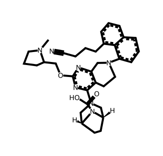 CN1CCCC1COc1nc2c(c(N3C[C@H]4CC[C@@H](C3)N4C(=O)O)n1)CCN(c1cccc3cccc(CCCC#N)c13)C2